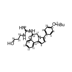 CCCCOc1ccc(-c2ccc(-c3ccccc3)n2CC(=O)NC(=N)NCCCO)cc1